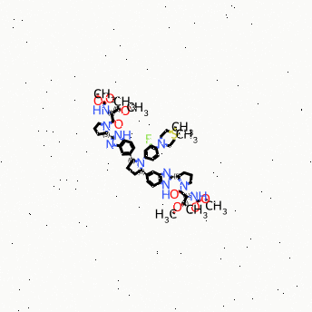 COC(=O)N[C@H](C(=O)N1CCC[C@H]1c1nc2cc([C@H]3CC[C@H](c4ccc5[nH]c([C@@H]6CCCN6C(=O)[C@@H](NC(=O)OC)[C@@H](C)OC)nc5c4)N3c3ccc(N4CCS(C)(C)CC4)c(F)c3)ccc2[nH]1)[C@@H](C)OC